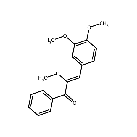 COC(=Cc1ccc(OC)c(OC)c1)C(=O)c1ccccc1